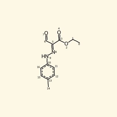 CCOC(=O)/C(C=O)=N/Nc1ccc(C)cc1